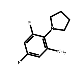 Nc1cc(F)cc(F)c1N1CCCC1